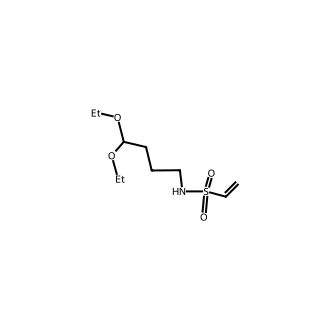 C=CS(=O)(=O)NCCCC(OCC)OCC